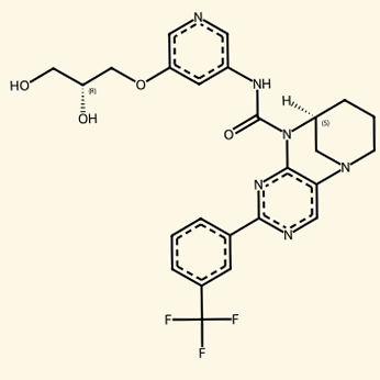 O=C(Nc1cncc(OC[C@H](O)CO)c1)N1c2nc(-c3cccc(C(F)(F)F)c3)ncc2N2CCC[C@H]1C2